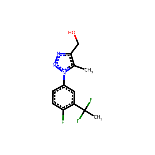 Cc1c(CO)nnn1-c1ccc(F)c(C(C)(F)F)c1